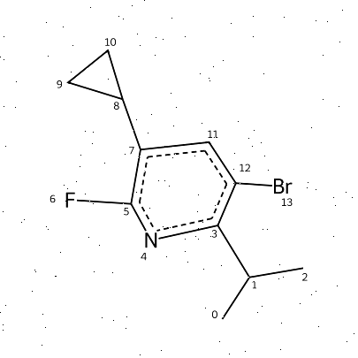 CC(C)c1nc(F)c(C2CC2)cc1Br